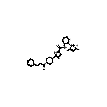 CC1=CC(C)NN1c1ncccc1NC(=O)c1csc(C2CCN(C(=O)CCc3ccccc3)CC2)n1